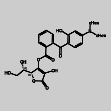 CCCCCCN(CCCCCC)c1ccc(C(=O)c2ccccc2C(=O)OC2=C(O)C(=O)O[C@@H]2[C@@H](O)CO)c(O)c1